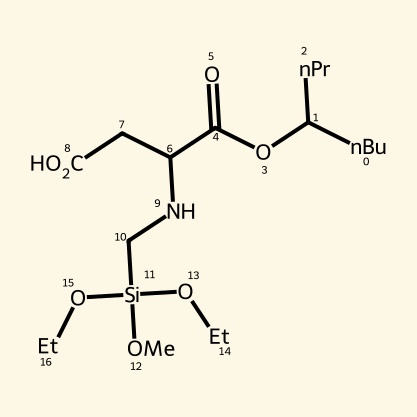 CCCCC(CCC)OC(=O)C(CC(=O)O)NC[Si](OC)(OCC)OCC